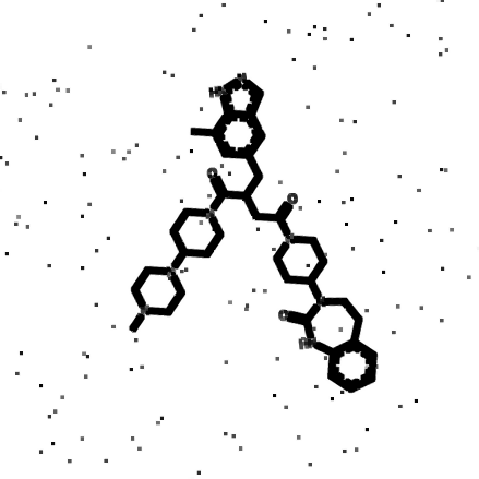 Cc1cc(CC(CC(=O)N2CCC(N3CCc4ccccc4NC3=O)CC2)C(=O)N2CCC(N3CCN(C)CC3)CC2)cc2cn[nH]c12